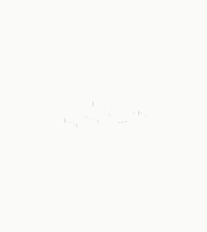 C.CO[Si](C)(S)CCCI